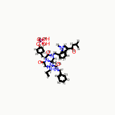 C=CCN1CC(=O)N2[C@@H](Cc3ccc(OP(=O)(O)O)cc3)C(=O)N(Cc3cccc4c(C(=O)CC(C)C)cn(C)c34)C[C@@H]2N1C(=O)NCc1ccccc1